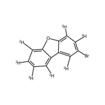 [2H]c1c([2H])c([2H])c2c(oc3c([2H])c([2H])c(Br)c([2H])c32)c1[2H]